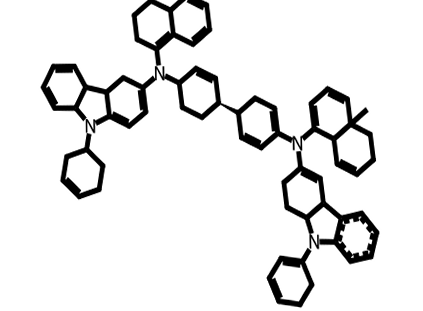 CC12C=CC=C(N(C3=CCC([C@@H]4C=CC(N(C5=CC=C6C(C5)C5C=CC=CC5N6C5CC=CCC5)C5=C6C=CC=CC6CCC5)CC4)C=C3)C3=CC4c5ccccc5N(C5=CC=CCC5)C4CC3)C1C=CCC2